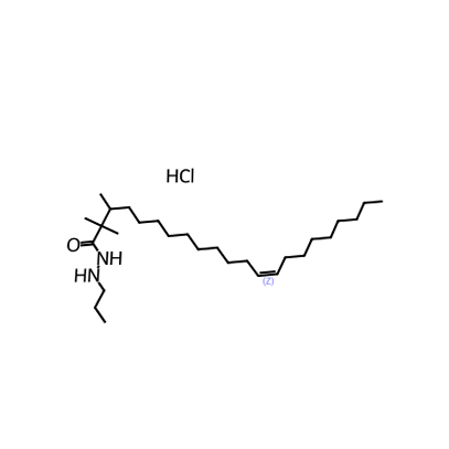 CCCCCCCC/C=C\CCCCCCCCCC(C)C(C)(C)C(=O)NNCCC.Cl